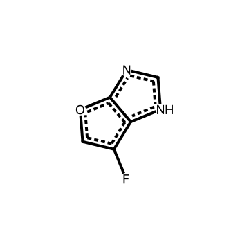 Fc1coc2nc[nH]c12